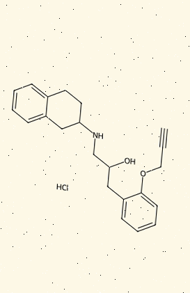 C#CCOc1ccccc1CC(O)CNC1CCc2ccccc2C1.Cl